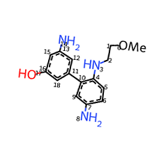 COCCNc1ccc(N)cc1-c1cc(N)cc(O)c1